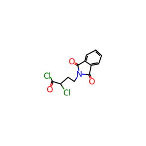 O=C(Cl)C(Cl)CCN1C(=O)c2ccccc2C1=O